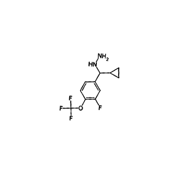 NNC(c1ccc(OC(F)(F)F)c(F)c1)C1CC1